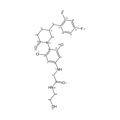 O=C(CNc1cc(Cl)c(N2CC(Cc3ccc(F)cc3F)CCC2=O)c(Cl)c1)NCCO